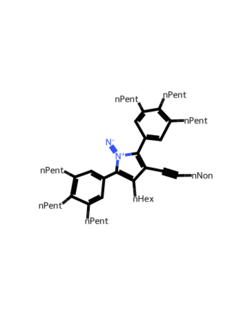 CCCCCCCCCC#CC1=C(c2cc(CCCCC)c(CCCCC)c(CCCCC)c2)[N+](=[N-])C(c2cc(CCCCC)c(CCCCC)c(CCCCC)c2)=C1CCCCCC